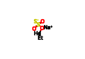 C[CH2][Hg][O]S(=O)(=O)[S-].[Na+]